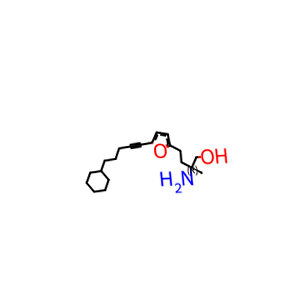 C[C@](N)(CO)CCc1ccc(C#CCCCC2CCCCC2)o1